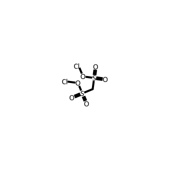 O=S(=O)(CS(=O)(=O)OCl)OCl